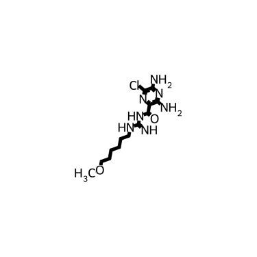 COCCCCCCNC(=N)NC(=O)c1nc(Cl)c(N)nc1N